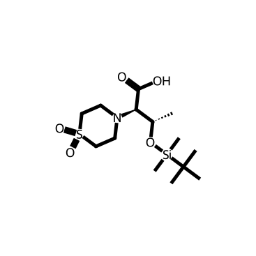 C[C@H](O[Si](C)(C)C(C)(C)C)[C@H](C(=O)O)N1CCS(=O)(=O)CC1